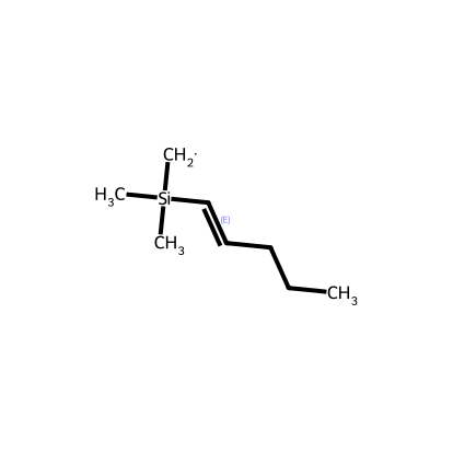 [CH2][Si](C)(C)/C=C/CCC